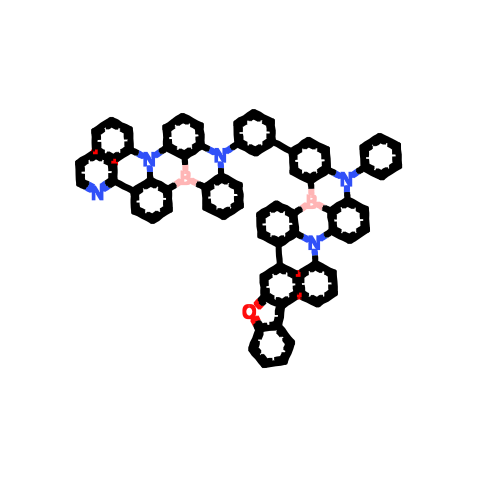 c1ccc(N2c3ccc(-c4cccc(N5c6ccccc6B6c7cccc(-c8ccccn8)c7N(c7ccccc7)c7cccc5c76)c4)cc3B3c4cccc(-c5ccc6c(c5)oc5ccccc56)c4N(c4ccccc4)c4cccc2c43)cc1